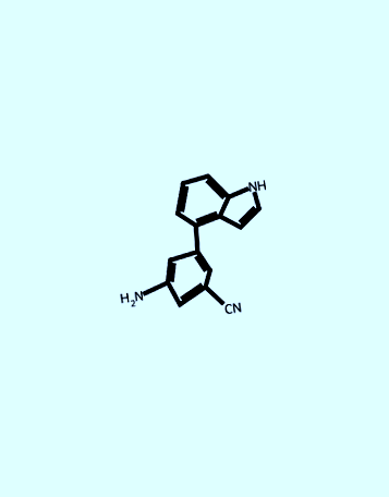 N#Cc1cc(N)cc(-c2cccc3[nH]ccc23)c1